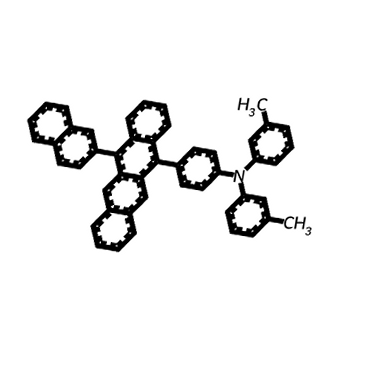 Cc1cccc(N(c2ccc(-c3c4ccccc4c(-c4ccc5ccccc5c4)c4cc5ccccc5cc34)cc2)c2cccc(C)c2)c1